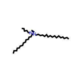 CCCCCCCCCCCCCCCCCn1cc[n+](CCCCC)c1CCCCCCCCCCCCC